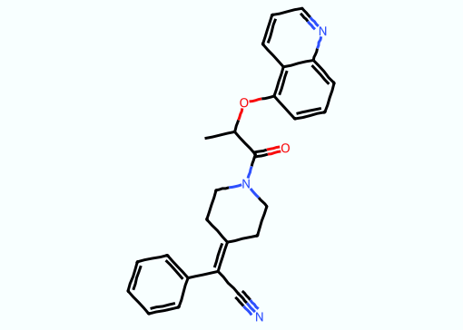 CC(Oc1cccc2ncccc12)C(=O)N1CCC(=C(C#N)c2ccccc2)CC1